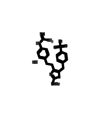 CCS(=O)(=O)c1ccc(Cc2sc(NC(C)=O)nc2CCc2ccc(NC(=N)N)cc2)cc1.Cl